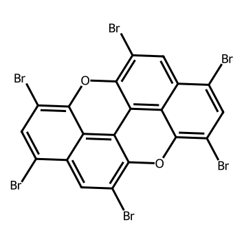 Brc1cc2c(Br)cc(Br)c3oc4c(Br)cc5c(Br)cc(Br)c6oc1c(c23)-c4c56